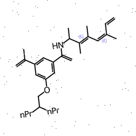 C=C/C(C)=C\C(C)=C(/C)C(C)NC(=C)c1cc(OCC(CCC)CCC)cc(C(=C)C)c1